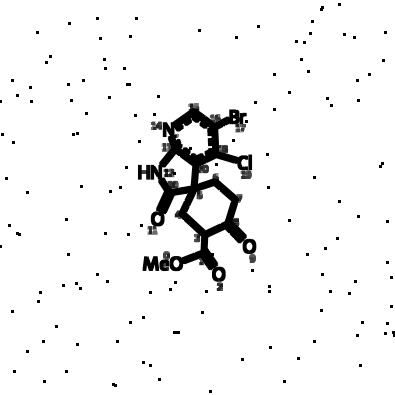 COC(=O)C1CC2(CCC1=O)C(=O)Nc1ncc(Br)c(Cl)c12